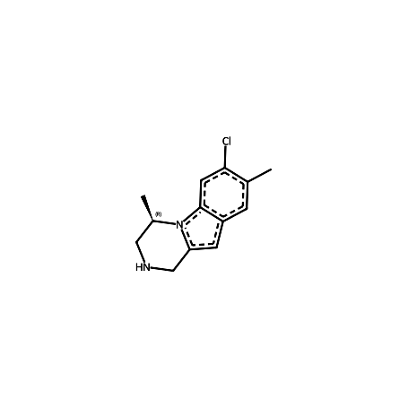 Cc1cc2cc3n(c2cc1Cl)[C@H](C)CNC3